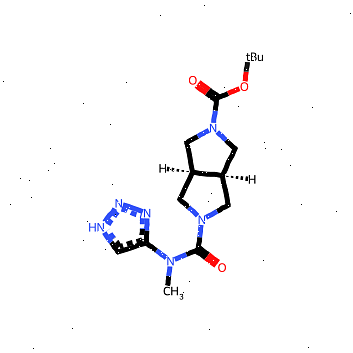 CN(C(=O)N1C[C@H]2CN(C(=O)OC(C)(C)C)C[C@H]2C1)c1c[nH]nn1